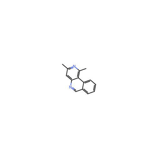 Cc1cc2ncc3ccccc3c2c(C)n1